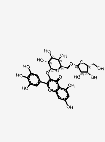 O=c1c(O[C@@H]2O[C@H](CO[C@@H]3O[C@H](CO)[C@@H](O)[C@@H]3O)[C@H](O)[C@H](O)[C@H]2O)c(-c2cc(O)c(O)c(O)c2)oc2cc(O)cc(O)c12